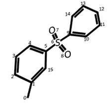 Cc1cccc(S(=O)(=O)c2ccccc2)c1